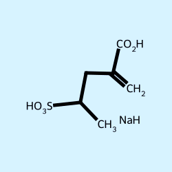 C=C(CC(C)S(=O)(=O)O)C(=O)O.[NaH]